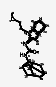 COCCn1c(=NC(=O)NC2C3CC4CC(C3)CC2C4)sc2ccccc21